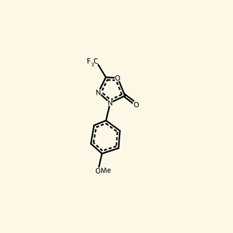 COc1ccc(-n2nc(C(F)(F)F)oc2=O)cc1